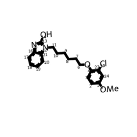 COc1ccc(OCCCCCCn2c(O)nc3ccccc32)c(Cl)c1